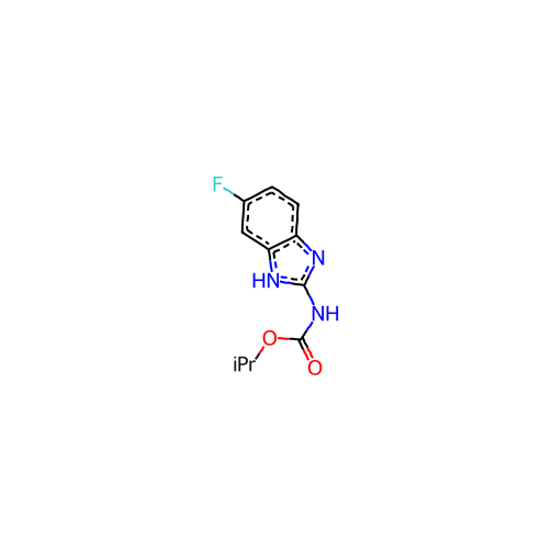 CC(C)OC(=O)Nc1nc2ccc(F)cc2[nH]1